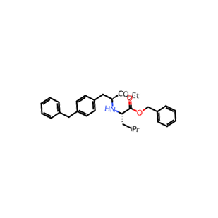 CCOC(=O)[C@H](Cc1ccc(Cc2ccccc2)cc1)N[C@@H](CC(C)C)C(=O)OCc1ccccc1